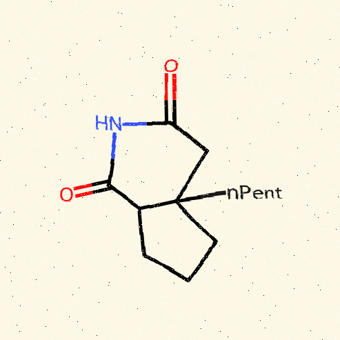 CCCCCC12CCCC1C(=O)NC(=O)C2